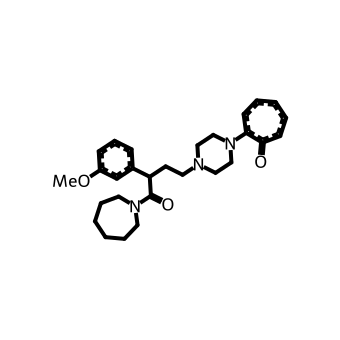 COc1cccc(C(CCN2CCN(c3cccccc3=O)CC2)C(=O)N2CCCCCC2)c1